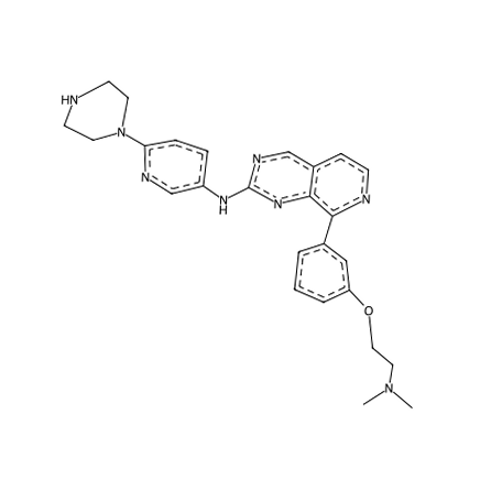 CN(C)CCOc1cccc(-c2nccc3cnc(Nc4ccc(N5CCNCC5)nc4)nc23)c1